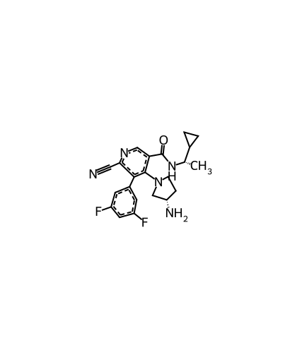 C[C@H](NC(=O)c1cnc(C#N)c(-c2cc(F)cc(F)c2)c1N1CC[C@H](N)C1)C1CC1